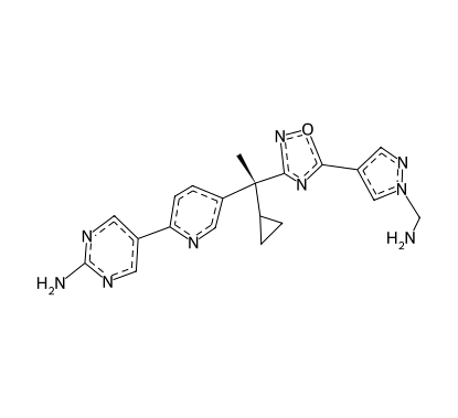 C[C@@](c1ccc(-c2cnc(N)nc2)nc1)(c1noc(-c2cnn(CN)c2)n1)C1CC1